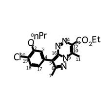 CCCOc1cc(-c2c(C)nn3c(C)c(C(=O)OCC)nnc23)ccc1Cl